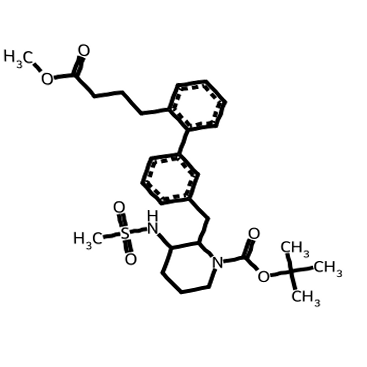 COC(=O)CCCc1ccccc1-c1cccc(CC2C(NS(C)(=O)=O)CCCN2C(=O)OC(C)(C)C)c1